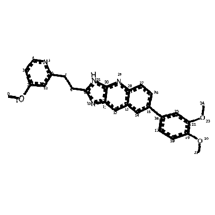 COc1ccnc(CCc2nc3cc4cc(-c5ccc(OC)c(OC)c5)ccc4nc3[nH]2)c1